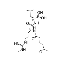 CNC(=N)NCCC[C@H](NC(=O)CCCC(C)=O)C(=O)N[C@@H](CC(C)C)B(O)O